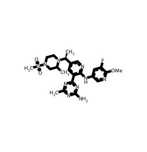 COc1ncc(Nc2ncc([C@H](C)N3CCN(S(C)(=O)=O)CC3C)cc2-c2nc(C)nc(N)n2)cc1F